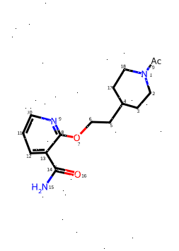 CC(=O)N1CCC(CCOc2ncccc2C(N)=O)CC1